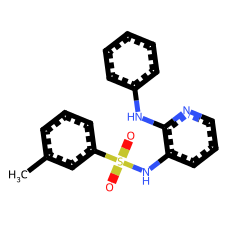 Cc1cccc(S(=O)(=O)Nc2cccnc2Nc2ccccc2)c1